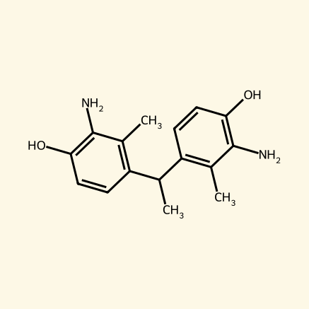 Cc1c(C(C)c2ccc(O)c(N)c2C)ccc(O)c1N